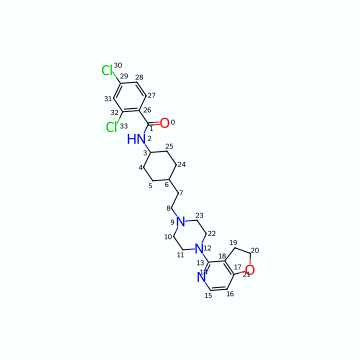 O=C(NC1CCC(CCN2CCN(c3nccc4c3CCO4)CC2)CC1)c1ccc(Cl)cc1Cl